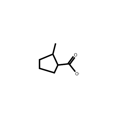 CC1CCCC1C([O])=O